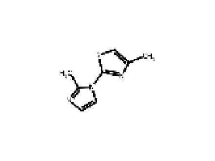 Cc1csc(-n2ccnc2C)n1